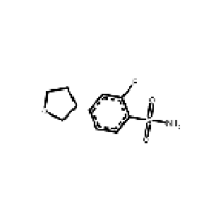 C1CCOC1.NS(=O)(=O)c1ccccc1F